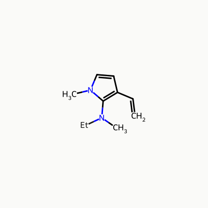 C=Cc1ccn(C)c1N(C)CC